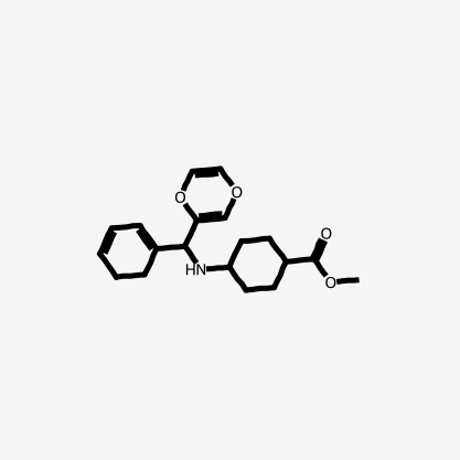 COC(=O)C1CCC(NC(C2=CC=CCC2)C2=COC=CO2)CC1